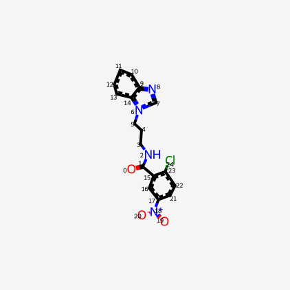 O=C(NCCCn1cnc2ccccc21)c1cc([N+](=O)[O-])ccc1Cl